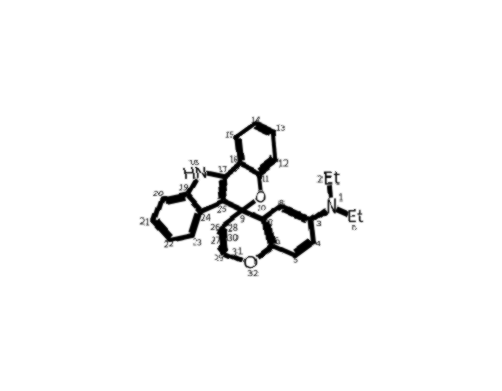 CCN(CC)c1ccc2c(c1)C1(Oc3ccccc3-c3[nH]c4ccccc4c31)c1ccccc1O2